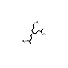 CC([SiH3])CCN(CCCN)CCC(C)[SiH3]